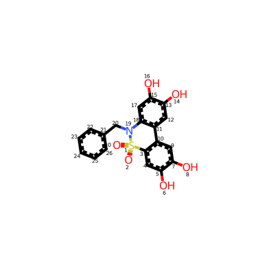 O=S1(=O)c2cc(O)c(O)cc2-c2cc(O)c(O)cc2N1Cc1ccccc1